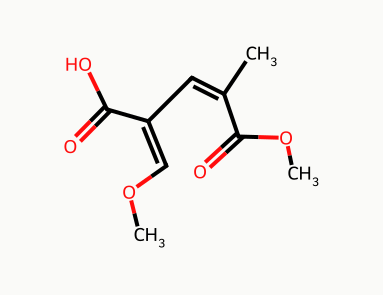 COC=C(C=C(C)C(=O)OC)C(=O)O